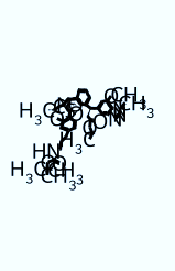 CCOC(=O)C[C@@H](c1cccc(CN2C[C@@H](C)Oc3cc(CCCNC(=O)OC(C)(C)C)ccc3S2(=O)=O)c1)c1cc(OC)c2c(c1)nnn2C